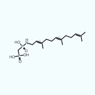 CC(C)=CCC/C(C)=C/CC/C(C)=C/CNP(=O)(O)CP(=O)(O)O